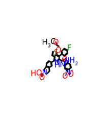 COCCOc1cc(F)ccc1-c1c(C(=O)Nc2cc([N+](=O)[O-])ccc2N)nc(-c2ccc3c(c2)CCN(C(=O)O)C3)c2ccsc12